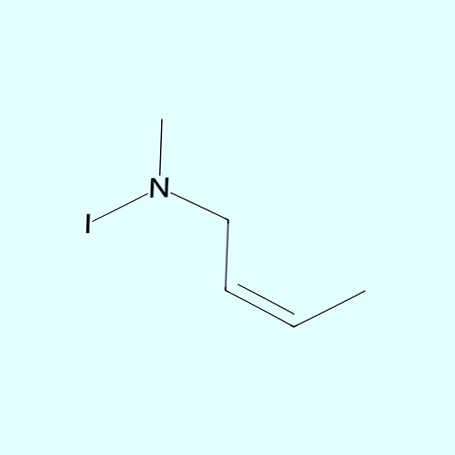 C/C=C\CN(C)I